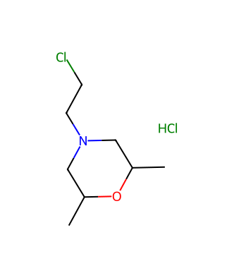 CC1CN(CCCl)CC(C)O1.Cl